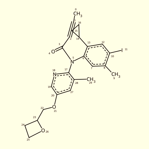 CC#CC(=O)N(c1cc(C)c(I)cc1C1CC1)c1ncc(OCC2CCO2)cc1C